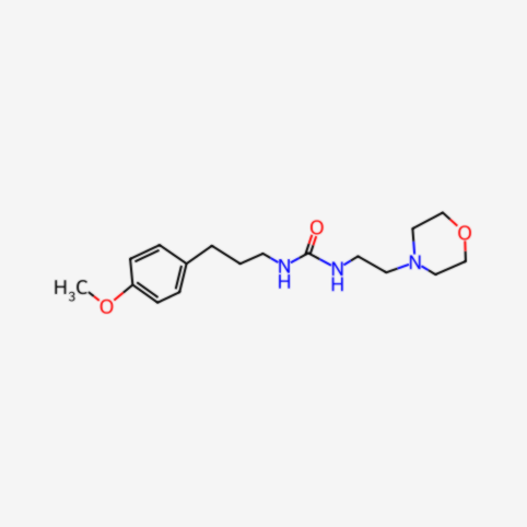 COc1ccc(CCCNC(=O)NCCN2CCOCC2)cc1